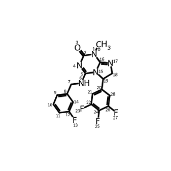 CN1C(=O)N=C(NCc2cccc(F)c2)N2C1=NCC2c1cc(F)c(F)c(F)c1